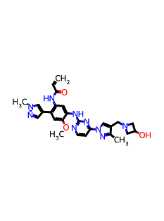 C=CC(=O)Nc1cc(Nc2nccc(-n3cc(CN4CC(O)C4)c(C)n3)n2)c(OC)cc1-c1cnn(C)c1